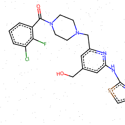 O=C(c1cccc(Cl)c1F)N1CCN(Cc2cc(CO)cc(Nc3nccs3)n2)CC1